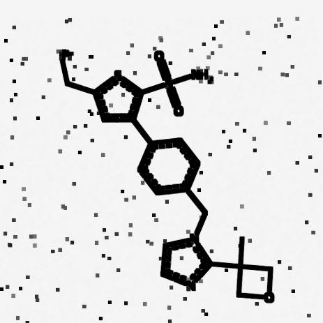 CC(C)Cc1cc(-c2ccc(Cn3ccnc3C3(C)COC3)cc2)c(S(N)(=O)=O)s1